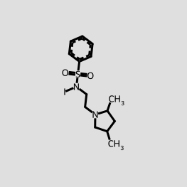 CC1CC(C)N(CCN(I)S(=O)(=O)c2ccccc2)C1